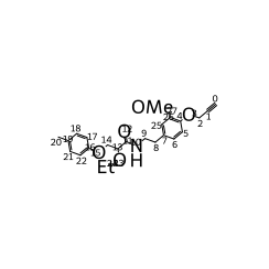 C#CCOc1ccc(CCNC(=O)C(COc2ccc(C)cc2)OCC)cc1OC